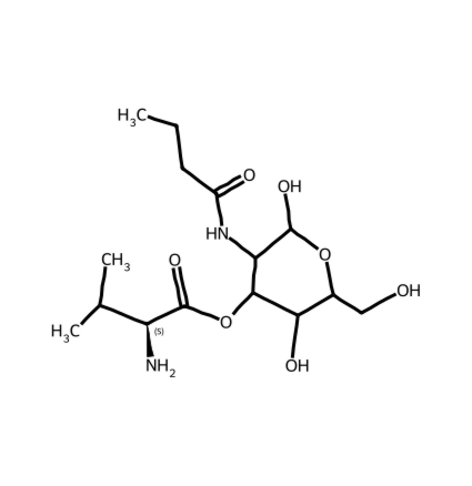 CCCC(=O)NC1C(O)OC(CO)C(O)C1OC(=O)[C@@H](N)C(C)C